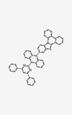 c1ccc(-c2cc(-c3ccccc3)nc(-c3c4ccccc4c(-c4ccc5c(c4)sc4c6ccccc6c6ccccc6c54)c4ccccc34)n2)cc1